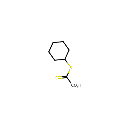 O=C(O)C(=S)SC1CCCCC1